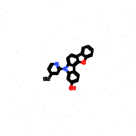 CC(C)(C)c1ccnc(-n2c3cc(O)ccc3c3c4oc5ccccc5c4ccc32)c1